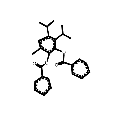 Cc1cc(C(C)C)c(C(C)C)c(OC(=O)c2ccccc2)c1OC(=O)c1ccccc1